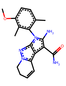 COc1ccc(C)c(-n2c(N)c(C(N)=O)c3c4n(nc32)CCC=C4)c1C